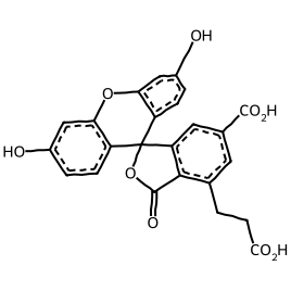 O=C(O)CCc1cc(C(=O)O)cc2c1C(=O)OC21c2ccc(O)cc2Oc2cc(O)ccc21